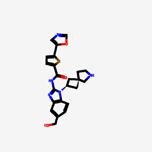 O=C(Nc1nc2cc(CO)ccc2n1[C@H]1C[C@@]2(CCNC2)C1)c1ccc(-c2cnco2)s1